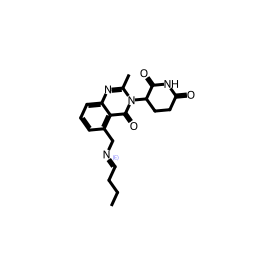 CCC/C=N/Cc1cccc2nc(C)n(C3CCC(=O)NC3=O)c(=O)c12